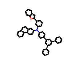 c1ccc(-c2cc(-c3ccccc3)cc(-c3ccc(N(c4cccc(-c5cc6ccccc6o5)c4)c4ccc5c(ccc6ccccc65)c4)cc3)c2)cc1